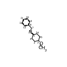 COC1CCC(=NCc2ccccc2)CC1